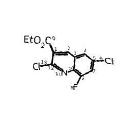 CCOC(=O)c1cc2cc(Cl)cc(F)c2nc1Cl